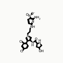 Nc1nc(NCCCn2cc(NC(=O)C3CC(O)CN3)c(-c3ccc(Cl)cc3Cl)c2)ccc1[N+](=O)[O-]